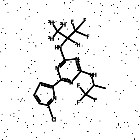 [2H]C([2H])([2H])C([2H])(Nc1nc(NC(C)C(F)(F)F)nc(-c2cccc(Cl)n2)n1)C(F)(F)F